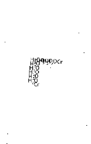 O.O.O.O.O.O.O.O.O.O.[Cr].[Cr]